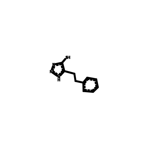 Sc1nn[nH]c1CCc1ccccc1